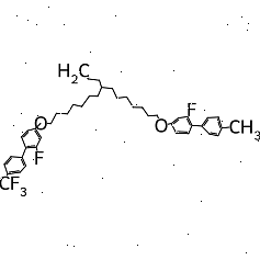 C=CCC(CCCCCCCOc1ccc(-c2ccc(C)cc2)c(F)c1)CCCCCCCOc1ccc(-c2ccc(C(F)(F)F)cc2)c(F)c1